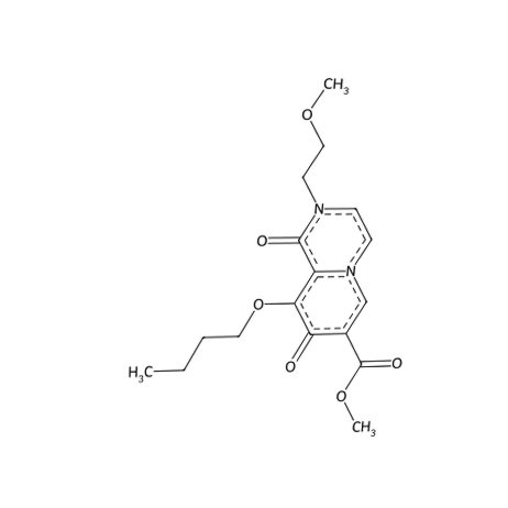 CCCCOc1c(=O)c(C(=O)OC)cn2ccn(CCOC)c(=O)c12